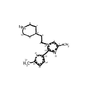 Cc1cn(CCC2CCNCC2)c(-c2ccc(C)s2)n1